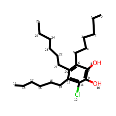 CCCCCCc1c(O)c(O)c(Cl)c(CCCCCC)c1CCCCCC